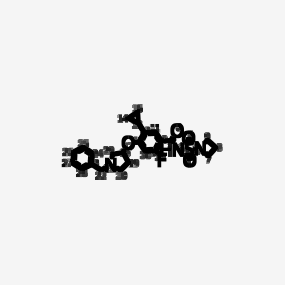 O=C(NS(=O)(=O)N1CCC1)c1cc(C2CC2)c(OC2CCN(Cc3ccccc3)C2)cc1F